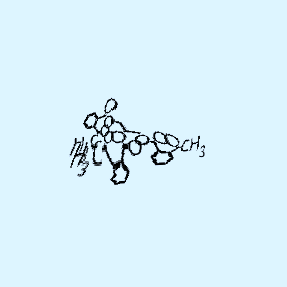 CC(=O)c1ccccc1C(=O)OCC(COC(=O)c1ccccc1C(C)=O)OC(=O)c1ccccc1C(C)=O